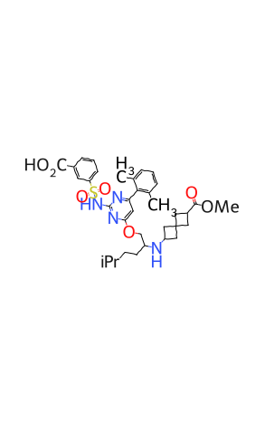 COC(=O)C1CC2(CC(NC(CCC(C)C)COc3cc(-c4c(C)cccc4C)nc(NS(=O)(=O)c4cccc(C(=O)O)c4)n3)C2)C1